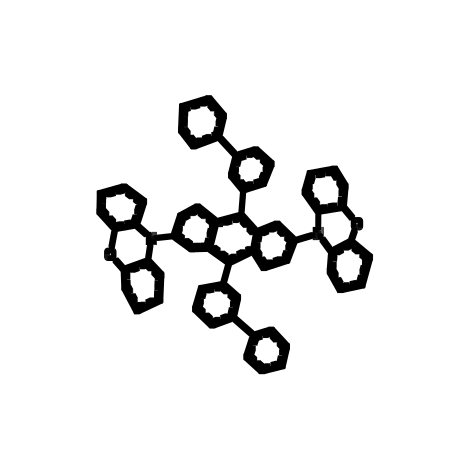 c1ccc(-c2cccc(-c3c4ccc(N5c6ccccc6Oc6ccccc65)cc4c(-c4cccc(-c5ccccc5)c4)c4ccc(N5c6ccccc6Oc6ccccc65)cc34)c2)cc1